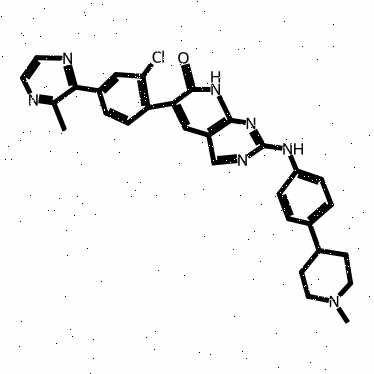 Cc1nccnc1-c1ccc(-c2cc3cnc(Nc4ccc(C5CCN(C)CC5)cc4)nc3[nH]c2=O)c(Cl)c1